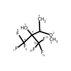 [CH2]C(OC)C(O)(C(F)(F)F)C(F)(F)F